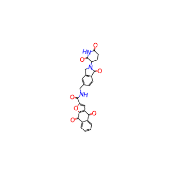 O=C1CCC(N2Cc3cc(CNC(=O)c4cc5c(o4)C(=O)c4ccccc4C5=O)ccc3C2=O)C(=O)N1